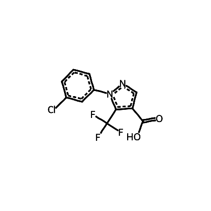 O=C(O)c1cnn(-c2cccc(Cl)c2)c1C(F)(F)F